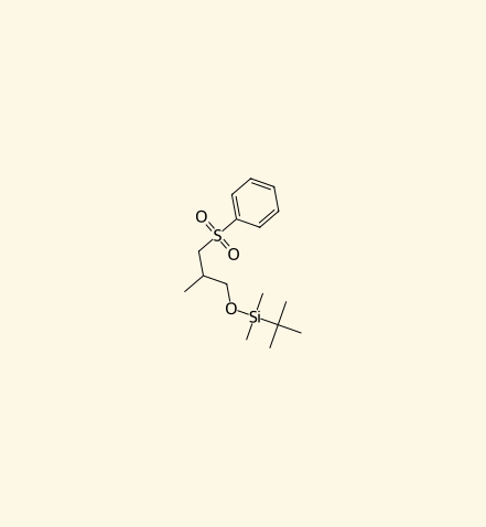 CC(CO[Si](C)(C)C(C)(C)C)CS(=O)(=O)c1ccccc1